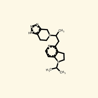 CC(Cc1nccc2c1CCN2C(C)C)N1CCc2[nH]nnc2C1